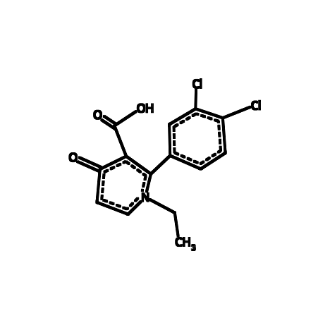 CCn1ccc(=O)c(C(=O)O)c1-c1ccc(Cl)c(Cl)c1